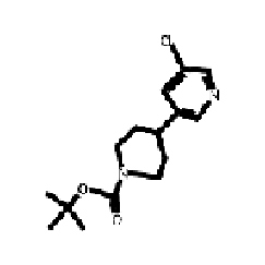 CC(C)(C)OC(=O)N1CCC(c2cncc(Cl)c2)CC1